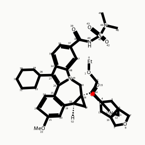 CCOCCN1CC23COCC2(C1)CN(C(=O)[C@]12C[C@H]1c1cc(OC)ccc1-c1c(C4CCCCC4)c4ccc(C(=O)NS(=O)(=O)N(C)C)cc4n1C2)C3